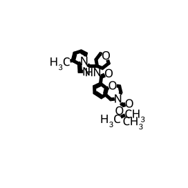 Cc1cccn2c(C3(NC(=O)c4cccc5c4OCCN(C(=O)OC(C)(C)C)C5)CCOCC3)ncc12